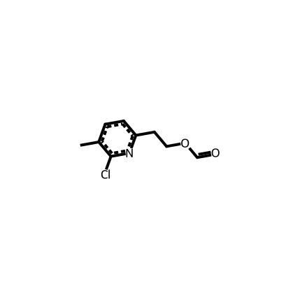 Cc1ccc(CCOC=O)nc1Cl